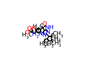 C\C=C/C(C(=C(\C)CC)/c1nc(N)c2c(n1)NC(=O)C2(C)c1ccc(CC(C)(C)C(=O)O)cc1)=C(\C)C(C)C